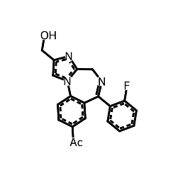 CC(=O)c1ccc2c(c1)C(c1ccccc1F)=NCc1nc(CO)cn1-2